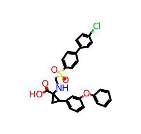 O=C(O)C1(NCS(=O)(=O)c2ccc(-c3ccc(Cl)cc3)cc2)CC1c1cccc(Oc2ccccc2)c1